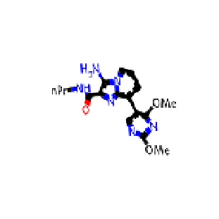 CCCNC(=O)c1nc2c(-c3cnc(OC)nc3OC)cccn2c1N